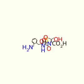 NCc1ccccc1CC(=O)N[C@H]1C(=O)N2C(C(=O)O)=C(CO)CS(=O)(=O)[C@@H]12